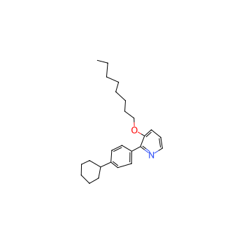 CCCCCCCCOc1cccnc1-c1ccc(C2CCCCC2)cc1